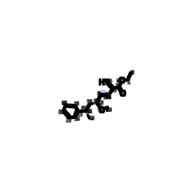 CCOC(=O)C(=N)/N=C/[C@@H](C[C@H](C)c1ccccc1)OC